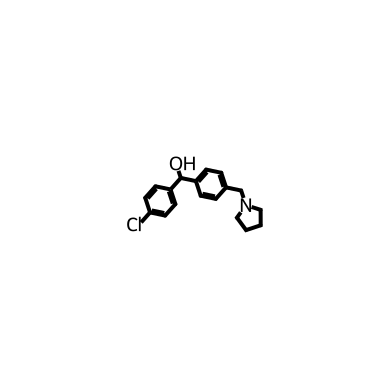 OC(c1ccc(Cl)cc1)c1ccc(CN2CCCC2)cc1